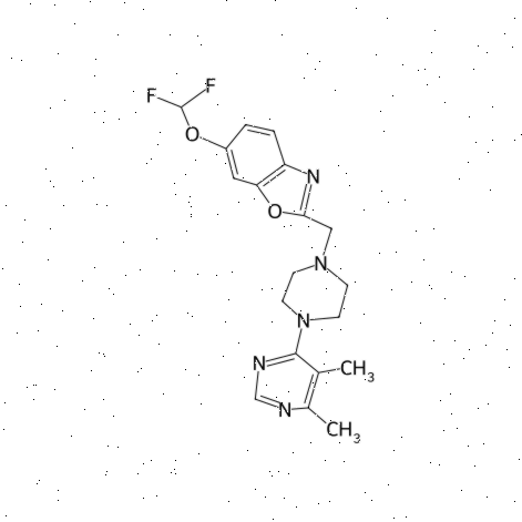 Cc1ncnc(N2CCN(Cc3nc4ccc(OC(F)F)cc4o3)CC2)c1C